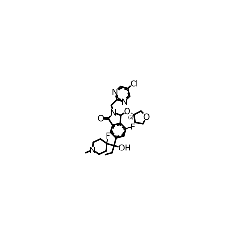 CCC(O)(c1cc(F)c2c(c1)C(=O)N(Cc1ncc(Cl)cn1)C2O[C@H]1CCOC1)C1(F)CCN(C)CC1